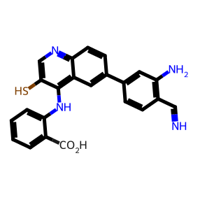 N=Cc1ccc(-c2ccc3ncc(S)c(Nc4ccccc4C(=O)O)c3c2)cc1N